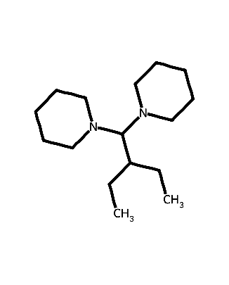 CCC(CC)C(N1CCCCC1)N1CCCCC1